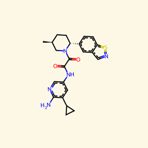 C[C@H]1CC[C@H](c2ccc3sncc3c2)N(C(=O)C(=O)Nc2cnc(N)c(C3CC3)c2)C1